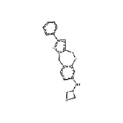 c1ccc(-c2cc3n(n2)Cc2ccc(NC4COC4)cc2OC3)cc1